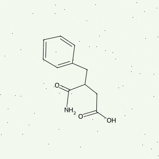 NC(=O)C(CC(=O)O)Cc1ccccc1